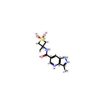 CC(C)c1n[nH]c2cc(C(=O)NC3(C)CS(=O)(=O)C3)cnc12